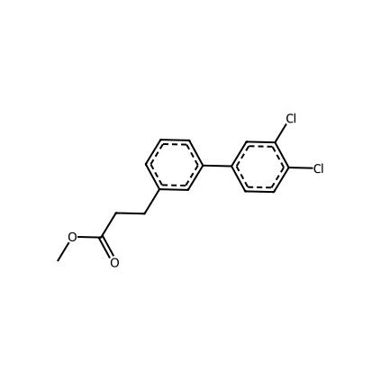 COC(=O)CCc1cccc(-c2ccc(Cl)c(Cl)c2)c1